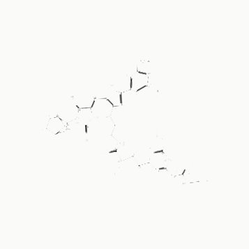 COc1cc(O)cc(-c2cc(CCCNC(=O)[C@@H](C)CCCN=C(NC(=O)OC(C)(C)C)NC(=O)OC(C)(C)C)c(/C=C3\SC(=S)N(C4CC5CCC4C5)C3=O)o2)c1